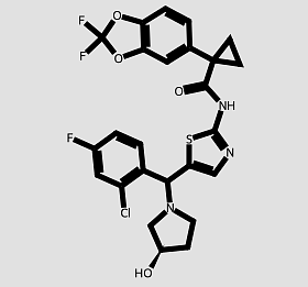 O=C(Nc1ncc(C(c2ccc(F)cc2Cl)N2CC[C@@H](O)C2)s1)C1(c2ccc3c(c2)OC(F)(F)O3)CC1